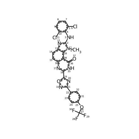 Cn1c(Nc2c(Cl)cccc2Cl)nc2ccc3nc(-c4nc(-c5ccc(OC(F)(F)F)cc5)no4)[nH]c(=O)c3c21